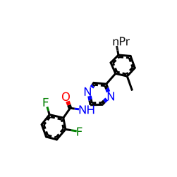 CCCc1ccc(C)c(-c2cnc(NC(=O)c3c(F)cccc3F)cn2)c1